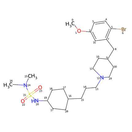 COc1ccc(Br)c(CC2CCN(CCCC3CCC(NS(=O)(=O)N(C)C)CC3)CC2)c1